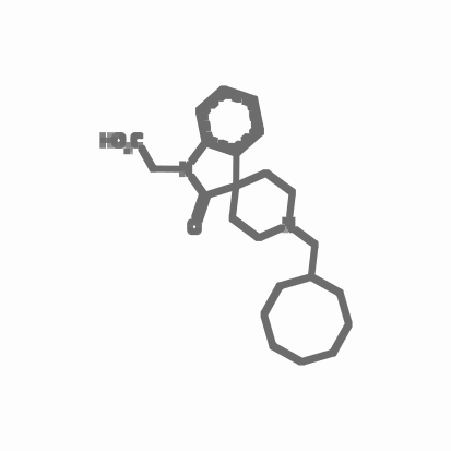 O=C(O)CN1C(=O)C2(CCN(CC3CCCCCCC3)CC2)c2ccccc21